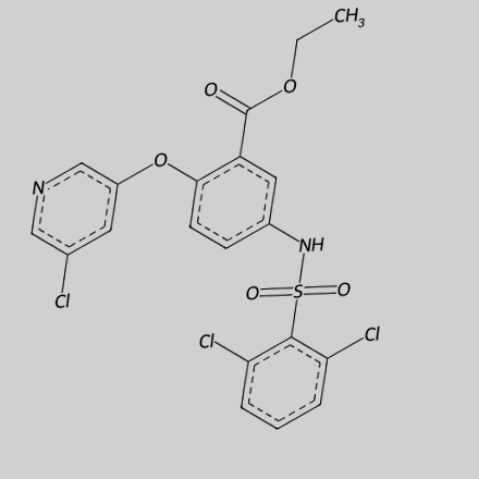 CCOC(=O)c1cc(NS(=O)(=O)c2c(Cl)cccc2Cl)ccc1Oc1cncc(Cl)c1